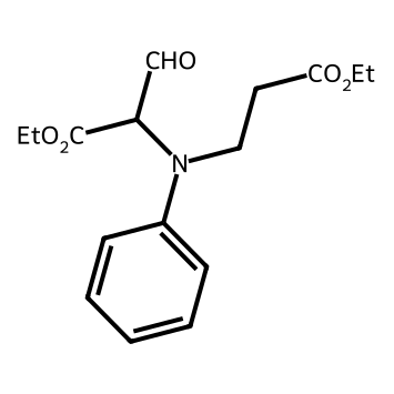 CCOC(=O)CCN(c1ccccc1)C(C=O)C(=O)OCC